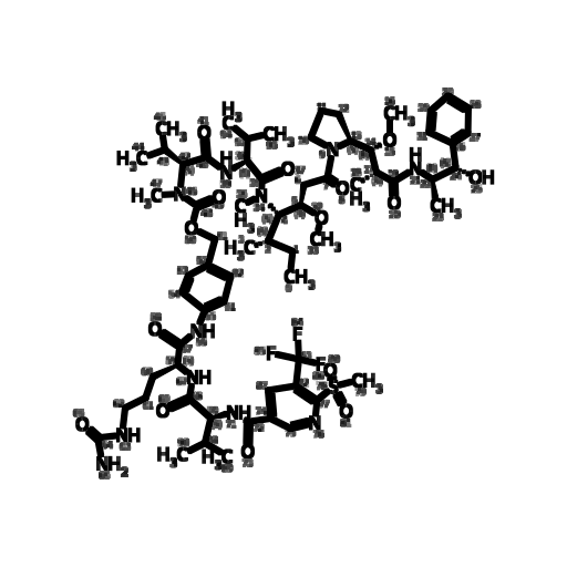 CC[C@H](C)[C@@H]([C@@H](CC(=O)N1CCC[C@H]1[C@H](OC)[C@@H](C)C(=O)N[C@H](C)[C@@H](O)c1ccccc1)OC)N(C)C(=O)[C@@H](NC(=O)[C@H](C(C)C)N(C)C(=O)OCc1ccc(NC(=O)[C@H](CCCNC(N)=O)NC(=O)[C@@H](NC(=O)c2cnc(S(C)(=O)=O)c(C(F)(F)F)c2)C(C)C)cc1)C(C)C